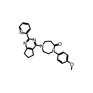 COc1ccc(N2CCN(c3nc(-c4ccccn4)nc4c3CCC4)CCC2=O)cc1